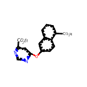 CCOC(=O)c1cc(Oc2ccc3c(C(=O)O)cccc3c2)ncn1